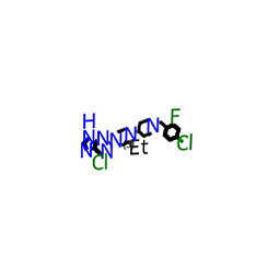 CC[C@H]1CN(c2nc(Cl)c3nc[nH]c3n2)CCN1C1CCN(Cc2ccc(Cl)cc2F)CC1